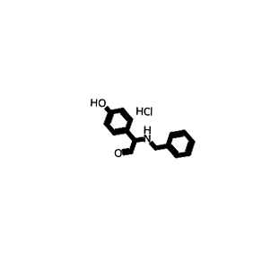 Cl.O=CC(NCc1ccccc1)c1ccc(O)cc1